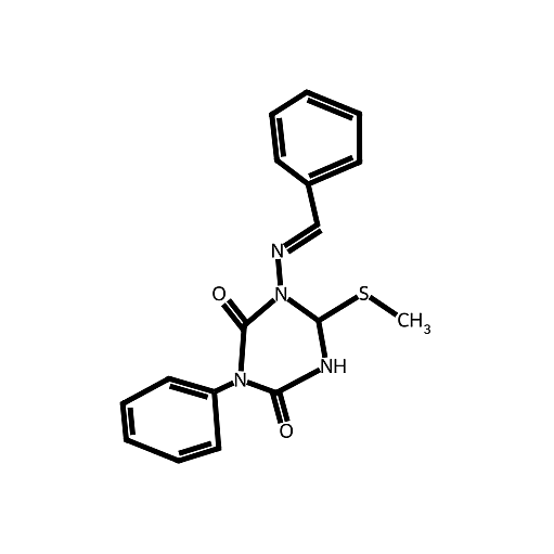 CSC1NC(=O)N(c2ccccc2)C(=O)N1N=Cc1ccccc1